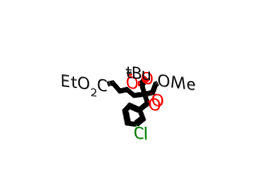 CCOC(=O)CCCCC(C(=O)COC)(C(=O)OC(C)(C)C)C(=O)c1cccc(Cl)c1